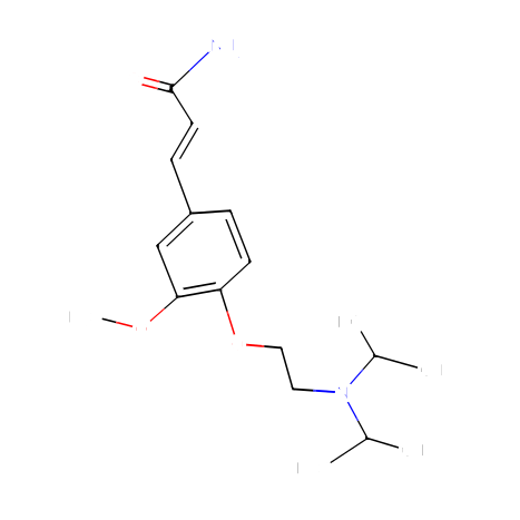 COc1cc(C=CC(N)=O)ccc1OCCN(C(C)C)C(C)C